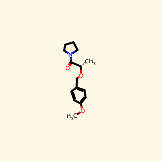 COc1ccc(CO[C@@H](C)C(=O)N2CCCC2)cc1